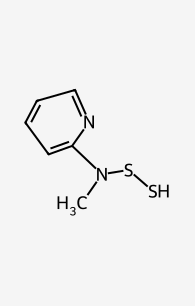 CN(SS)c1ccccn1